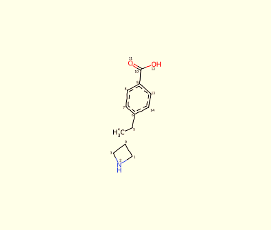 C1CNC1.CCc1ccc(C(=O)O)cc1